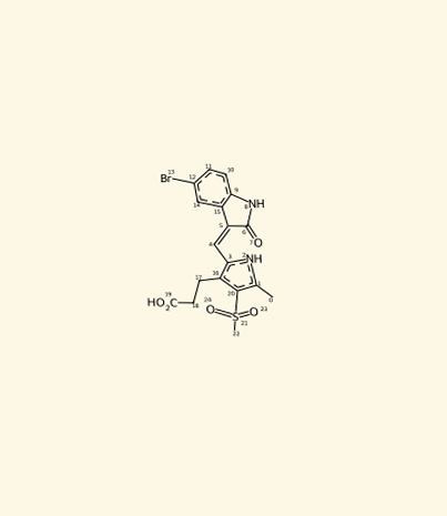 Cc1[nH]c(/C=C2\C(=O)Nc3ccc(Br)cc32)c(CCC(=O)O)c1S(C)(=O)=O